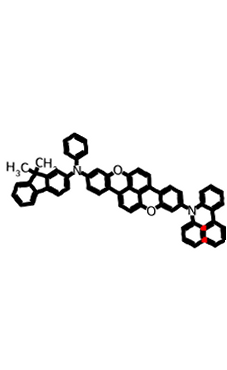 CC1(C)c2ccccc2-c2ccc(N(c3ccccc3)c3ccc4c(c3)Oc3ccc5c6c(ccc-4c36)Oc3cc(N(c4ccccc4)c4ccccc4-c4ccccc4)ccc3-5)cc21